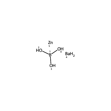 OB(O)O.[BaH2].[Zn]